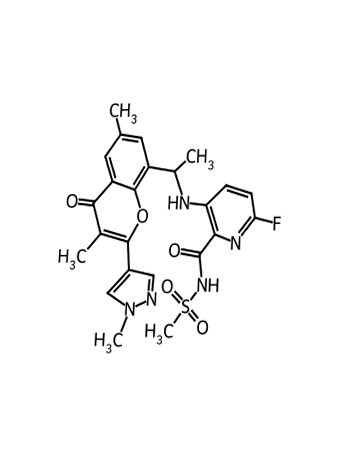 Cc1cc(C(C)Nc2ccc(F)nc2C(=O)NS(C)(=O)=O)c2oc(-c3cnn(C)c3)c(C)c(=O)c2c1